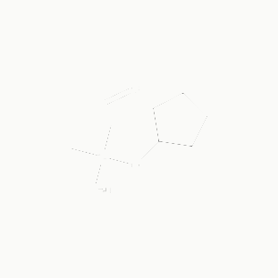 C=O.CC(C)(C)[Si](C)(C)OC1CCCC1